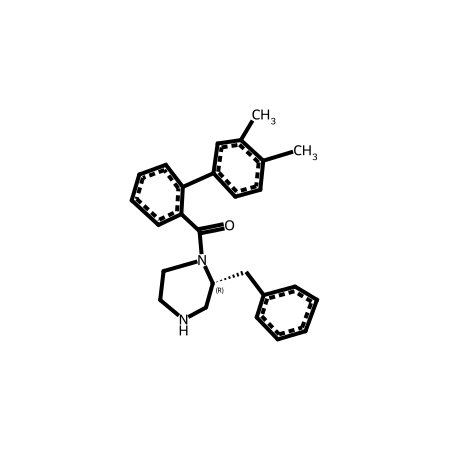 Cc1ccc(-c2ccccc2C(=O)N2CCNC[C@H]2Cc2ccccc2)cc1C